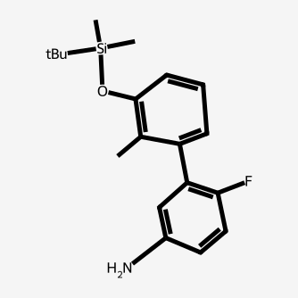 Cc1c(O[Si](C)(C)C(C)(C)C)cccc1-c1cc(N)ccc1F